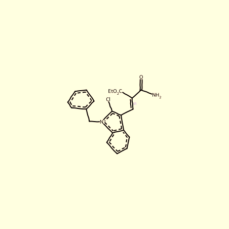 CCOC(=O)/C(=C\c1c(Cl)n(Cc2ccccc2)c2ccccc12)C(N)=O